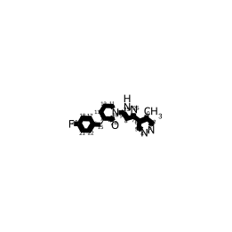 Cc1cnncc1-c1cc(N2CCC[C@@H](Cc3ccc(F)cc3)C2=O)[nH]n1